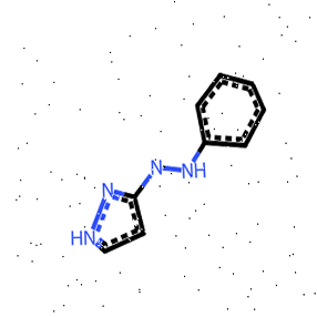 c1ccc(N[N]c2cc[nH]n2)cc1